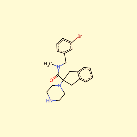 CN(Cc1cccc(Br)c1)C(=O)C1(N2CCNCC2)Cc2ccccc2C1